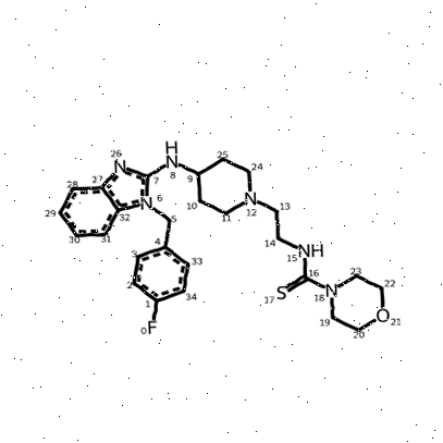 Fc1ccc(Cn2c(NC3CCN(CCNC(=S)N4CCOCC4)CC3)nc3ccccc32)cc1